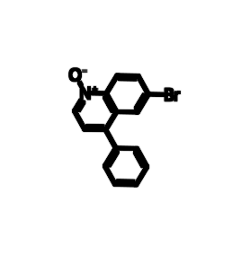 [O-][n+]1ccc(-c2ccccc2)c2cc(Br)ccc21